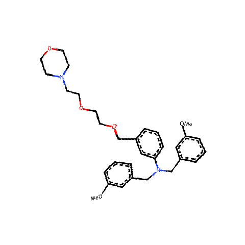 COc1cccc(CN(Cc2cccc(OC)c2)c2cccc(COCCOCCN3CCOCC3)c2)c1